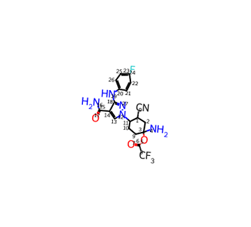 N#CC1CC(N)(OC(=O)C(F)(F)F)CCC1n1cc(C(N)=O)c(Nc2ccc(F)cc2)n1